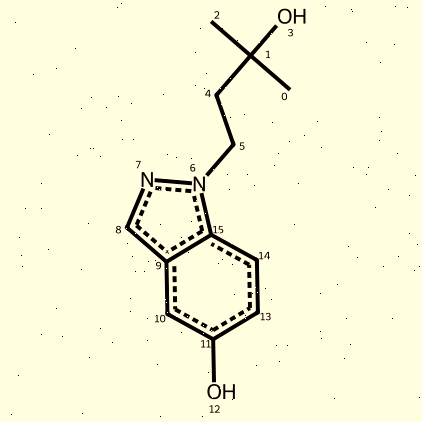 CC(C)(O)CCn1ncc2cc(O)ccc21